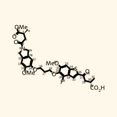 COC(=O)[C@@H](C)CC(=O)N1Cc2cc(OC)c(OCCCOc3c(OC)cc4sc(C(=O)C[C@H](C)C(=O)O)cc4c3F)cc2C1